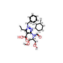 CCc1c(C(=O)O)c(N(C(=O)[C@H]2CC[C@H](C)CC2)C(COC)COC)nn1Cc1ccccc1